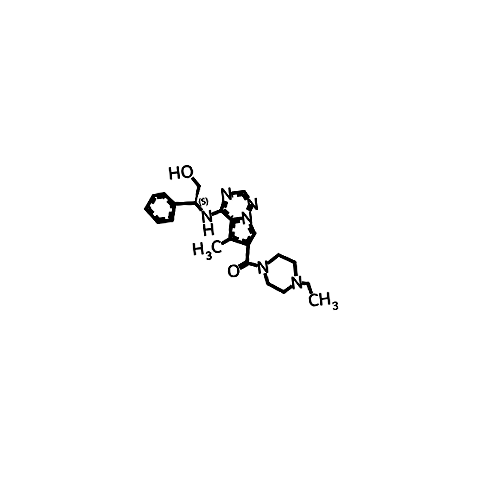 CCN1CCN(C(=O)c2cn3ncnc(N[C@H](CO)c4ccccc4)c3c2C)CC1